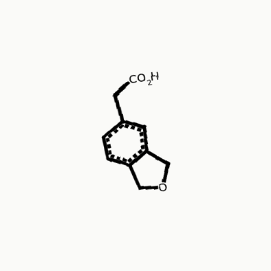 O=C(O)Cc1ccc2c(c1)COC2